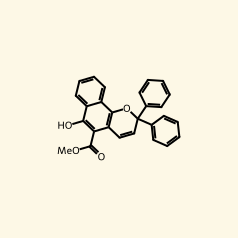 COC(=O)c1c2c(c3ccccc3c1O)OC(c1ccccc1)(c1ccccc1)C=C2